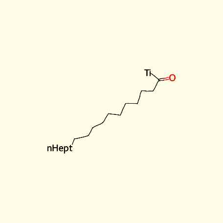 CCCCCCCCCCCCCCCCC[C](=O)[Ti]